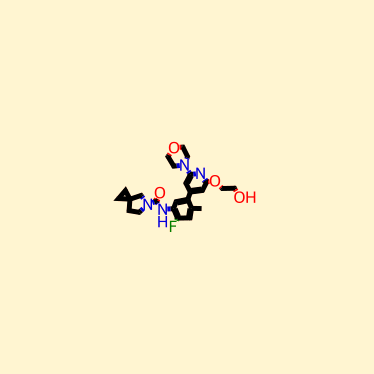 Cc1cc(F)c(NC(=O)N2CCC3(CC3)C2)cc1-c1cc(OCCO)nc(N2CCOCC2)c1